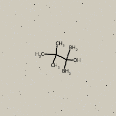 BC(B)(O)C(C)(C)C